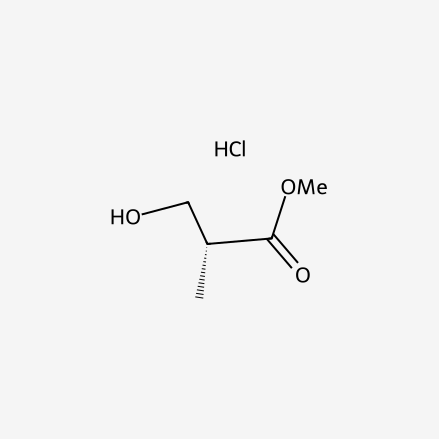 COC(=O)[C@H](C)CO.Cl